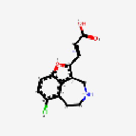 O=C(O)/C=C/c1oc2ccc(Cl)c3c2c1CNCC3